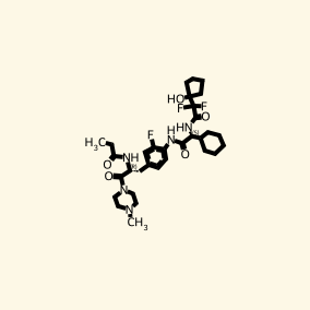 CCC(=O)N[C@H](Cc1ccc(NC(=O)[C@@H](NC(=O)C(F)(F)C2(O)CCCC2)C2CCCCC2)c(F)c1)C(=O)N1CCN(C)CC1